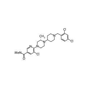 CNC(=O)c1cnc(N2CCN(C3CCN(Cc4ccc(Cl)cc4Cl)CC3)[C@@H](C)C2)c(Cl)c1